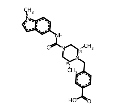 C[C@@H]1CN(C(=O)Nc2ccc3c(ccn3C)c2)C[C@H](C)N1Cc1ccc(C(=O)O)cc1